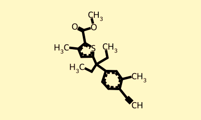 C#Cc1ccc(C(CC)(CC)c2cc(C)c(C(=O)OC)s2)cc1C